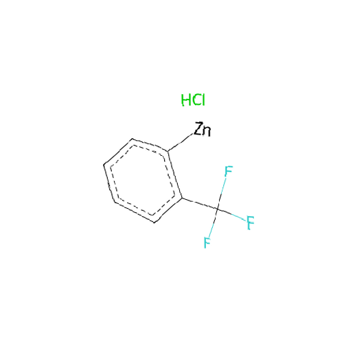 Cl.FC(F)(F)c1cccc[c]1[Zn]